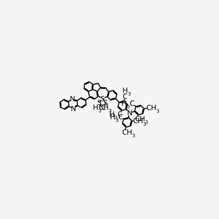 CSS1(SC)c2cc(-c3cc(C)c(N(c4c(C)cc(C)cc4C)c4c(C)cc(C)cc4C)cc3C)ccc2C=C2Cc3cccc4c(-c5ccc6nc7ccccc7nc6c5)cc1c2c34